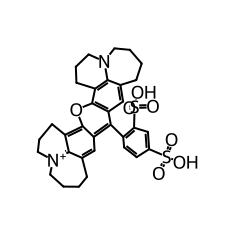 O=S(=O)(O)c1ccc(C2=c3cc4c5c(c3Oc3c2cc2c6c3CCCN6CCCC2)CCC[N+]=5CCCC4)c(S(=O)(=O)O)c1